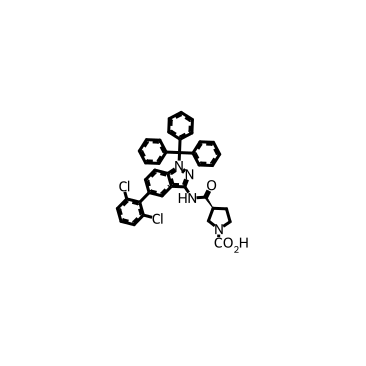 O=C(Nc1nn(C(c2ccccc2)(c2ccccc2)c2ccccc2)c2ccc(-c3c(Cl)cccc3Cl)cc12)[C@H]1CCN(C(=O)O)C1